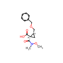 CON(C)C(=O)[C@@]1(C(=O)O)C[C@@H]1COCc1ccccc1